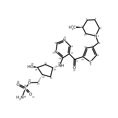 C[C@H]1CCCN(Cc2csc(C(=O)c3cncnc3N[C@@H]3C[C@H](COS(N)(=O)=O)[C@@H](O)C3)c2)C1